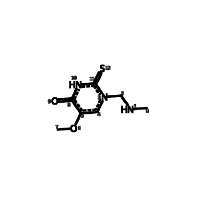 CNCn1cc(OC)c(=O)[nH]c1=S